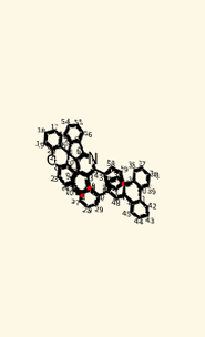 c1ccc(-c2nc3c(c4ccccc24)C2(c4ccccc4Oc4ccc(-c5cccc(-c6ccc7c8ccccc8c8ccccc8c7c6)c5)cc42)c2ccccc2-3)cc1